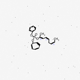 C/C=C\C/C=C\C=C(/C)OP(=O)(Oc1ccccc1)OC1C#CC=CC=C1